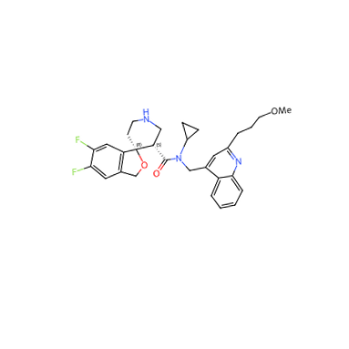 COCCCc1cc(CN(C(=O)[C@H]2CNCC[C@@]23OCc2cc(F)c(F)cc23)C2CC2)c2ccccc2n1